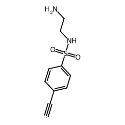 [C]#Cc1ccc(S(=O)(=O)NCCN)cc1